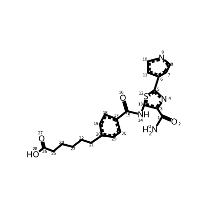 NC(=O)c1nc(-c2ccncc2)sc1NC(=O)c1ccc(CCCCCC(=O)O)cc1